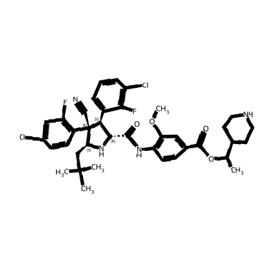 COc1cc(C(=O)OC(C)C2CCNCC2)ccc1NC(=O)[C@@H]1N[C@@H](CC(C)(C)C)[C@](C#N)(c2ccc(Cl)cc2F)[C@H]1c1cccc(Cl)c1F